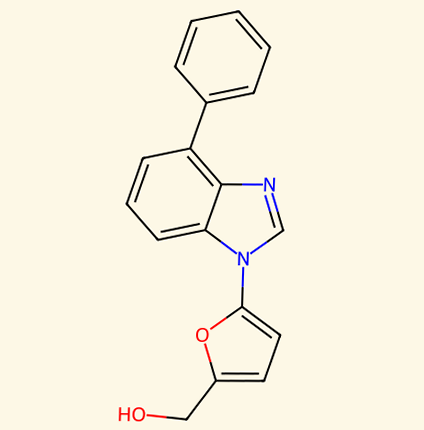 OCc1ccc(-n2cnc3c(-c4ccccc4)cccc32)o1